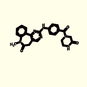 CN1C(=O)Cc2cnc(Nc3ccc(C(=O)N4CCNC(=O)C4)cc3)nc2-c2ccccc21